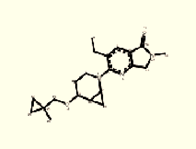 CCc1cc2c(nc1N1CCC(OCC3(C)CC3)C3CC31)CN(C)C2=O